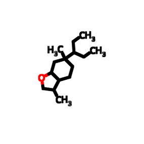 CCC(CC)C1(C)CCC2C(C)COC2C1